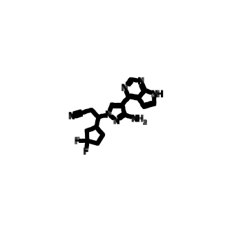 N#CCC(C1CCC(F)(F)C1)n1cc(-c2ncnc3[nH]ccc23)c(N)n1